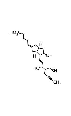 CC#CCC(CS)[C@H](O)/C=C/[C@@H]1[C@H]2C/C(=C/CCCC(=O)O)C[C@H]2C[C@H]1O